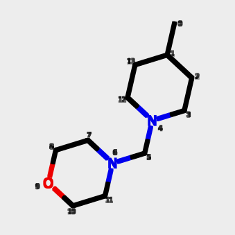 CC1CCN(CN2CCOCC2)CC1